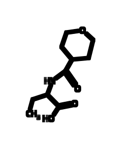 CCC(NC(=O)C1CCOCC1)C(=O)O